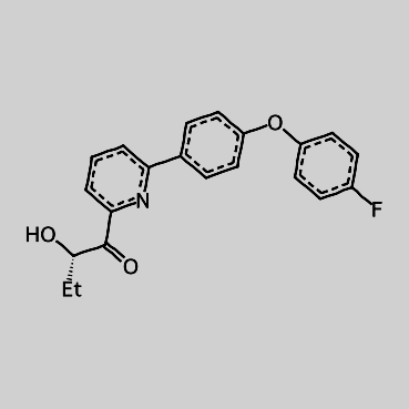 CC[C@H](O)C(=O)c1cccc(-c2ccc(Oc3ccc(F)cc3)cc2)n1